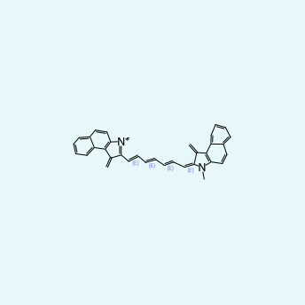 C=C1C(/C=C/C=C/C=C/C=c2\c(=C)c3c4ccccc4ccc3n2C)=[N+](C)c2ccc3ccccc3c21